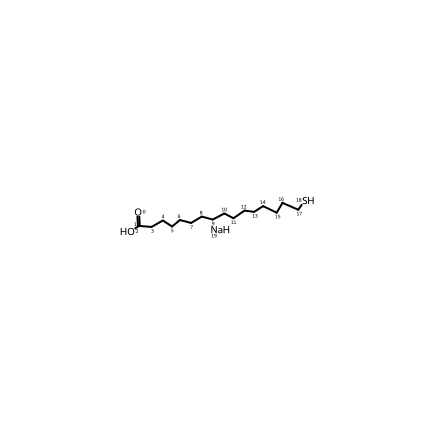 O=C(O)CCCCCCCCCCCCCCCS.[NaH]